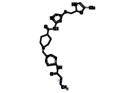 C/C=C/C(=O)Nc1ccc(CN2CCC(C(=O)Nc3ncc(SCC4NC=C(C(C)(C)C)O4)s3)CC2)cc1